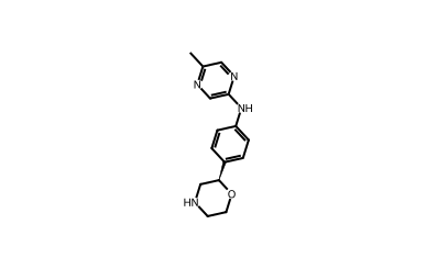 Cc1cnc(Nc2ccc([C@@H]3CNCCO3)cc2)cn1